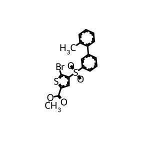 COC(=O)c1cc(S(=O)(=O)c2cccc(-c3ccccc3C)c2)c(Br)s1